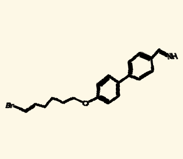 N=Cc1ccc(-c2ccc(OCCCCCCBr)cc2)cc1